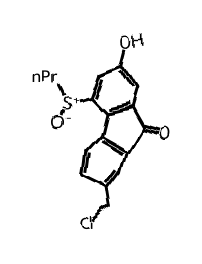 CCC[S+]([O-])c1cc(O)cc2c1-c1ccc(CCl)cc1C2=O